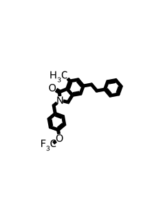 Cc1cc(CCc2ccccc2)cc2c1C(=O)N(Cc1ccc(OC(F)(F)F)cc1)C2